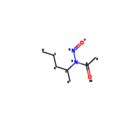 CCCC(C)N(N=O)C(C)=O